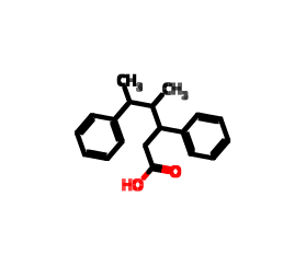 CC(c1ccccc1)C(C)C(CC(=O)O)c1ccccc1